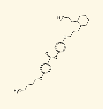 CCCCCOc1ccc(C(=O)Oc2ccc(OCCCC3CCCCC3CCC)cc2)cc1